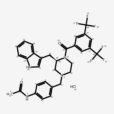 CC(=O)Nc1ccc(CN2CCN(C(=O)c3cc(C(F)(F)F)cc(C(F)(F)F)c3)[C@H](Cc3c[nH]c4ccccc34)C2)cc1.Cl